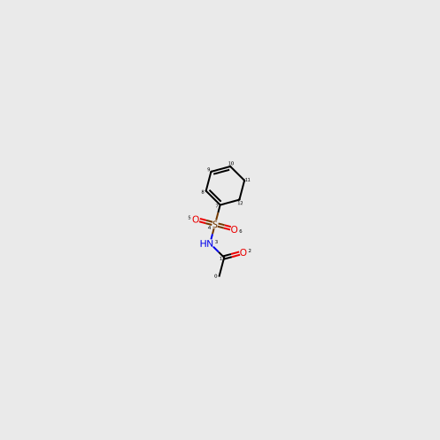 CC(=O)NS(=O)(=O)C1=CC=CCC1